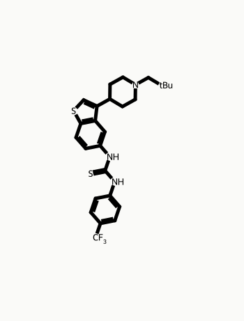 CC(C)(C)CN1CCC(c2csc3ccc(NC(=S)Nc4ccc(C(F)(F)F)cc4)cc23)CC1